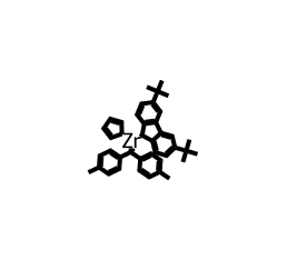 Cc1ccc([C](c2ccc(C)cc2)=[Zr]([CH]2C=CC=C2)[CH]2c3ccc(C(C)(C)C)cc3-c3cc(C(C)(C)C)ccc32)cc1